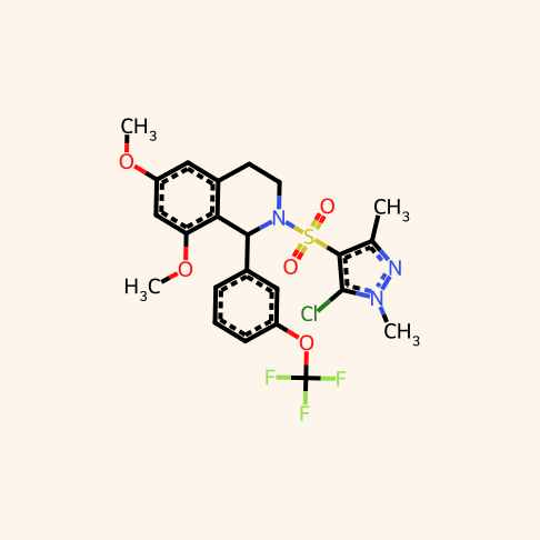 COc1cc2c(c(OC)c1)C(c1cccc(OC(F)(F)F)c1)N(S(=O)(=O)c1c(C)nn(C)c1Cl)CC2